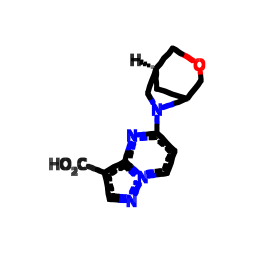 O=C(O)c1cnn2ccc(N3C[C@H]4COCC3C4)nc12